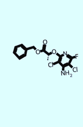 C[C@@H](Oc1nc(F)c(Cl)c(N)c1Cl)C(=O)OCc1ccccc1